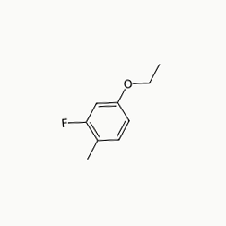 CCOc1ccc(C)c(F)c1